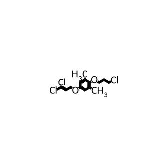 Cc1cc(OCC=C(Cl)Cl)cc(C)c1OCCCCl